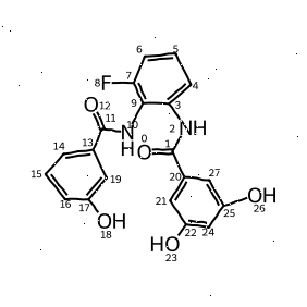 O=C(Nc1cccc(F)c1NC(=O)c1cccc(O)c1)c1cc(O)cc(O)c1